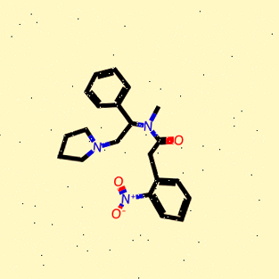 CN(C(=O)Cc1ccccc1[N+](=O)[O-])C(CN1CCCC1)c1ccccc1